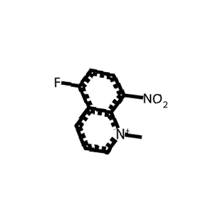 C[n+]1cccc2c(F)ccc([N+](=O)[O-])c21